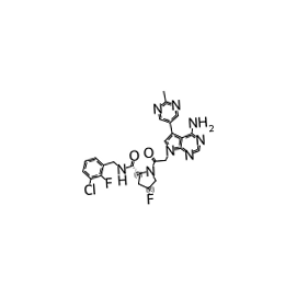 Cc1ncc(-c2cn(CC(=O)N3C[C@H](F)C[C@@H]3C(=O)NCc3cccc(Cl)c3F)c3ncnc(N)c23)cn1